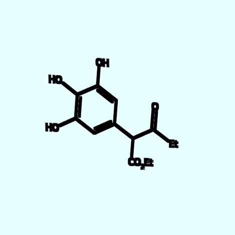 CCOC(=O)C(C(=O)CC)c1cc(O)c(O)c(O)c1